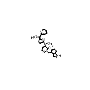 CN(c1csc(C(O)c2ccccn2)n1)c1ccnn(Cc2cccc3[nH]ncc23)c1=O